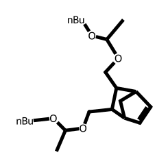 CCCCOC(C)OCC1C2C=CC(C2)C1COC(C)OCCCC